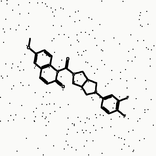 COc1ccc2c(ccc(=O)n2C(=O)N2CC3CN(c4ccc(F)c(F)c4)CC3C2)c1